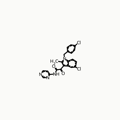 Cc1c(C(=O)C(=O)Nc2ccncn2)c2cc(Cl)ccc2n1Cc1ccc(Cl)cc1